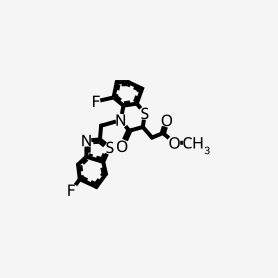 COC(=O)CC1Sc2cccc(F)c2N(Cc2nc3cc(F)ccc3s2)C1=O